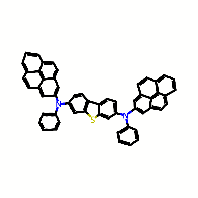 c1ccc(N(c2cc3ccc4cccc5ccc(c2)c3c45)c2ccc3c(c2)sc2cc(N(c4ccccc4)c4cc5ccc6cccc7ccc(c4)c5c67)ccc23)cc1